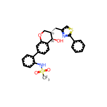 O=S(=O)(Nc1ccccc1-c1ccc2c(c1)OC[C@H](Cc1csc(-c3ccccc3)n1)[C@H]2O)C(F)(F)F